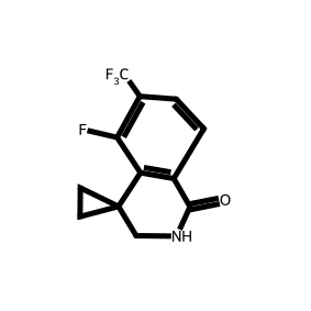 O=C1NCC2(CC2)c2c1ccc(C(F)(F)F)c2F